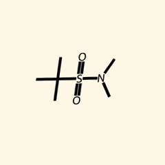 CN(C)S(=O)(=O)C(C)(C)C